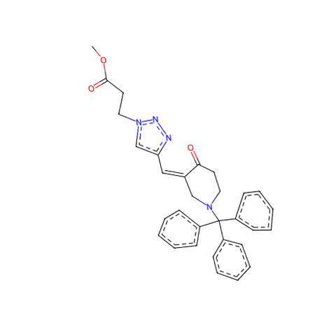 COC(=O)CCn1cc(C=C2CN(C(c3ccccc3)(c3ccccc3)c3ccccc3)CCC2=O)nn1